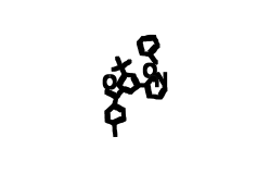 Cc1ccc(-c2coc3c(C(C)(C)C)cc(-c4cccnc4OCc4ccccc4)cc23)cc1